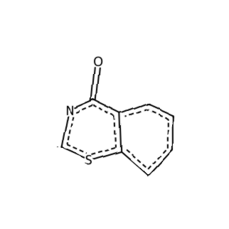 O=c1n[c]sc2ccccc12